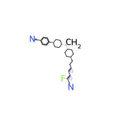 C=C([C@H]1CC[C@H](CC/C=C/C=C(\F)C#N)CC1)[C@H]1CC[C@H](c2ccc(C#N)cc2)CC1